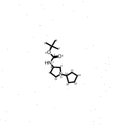 CC(C)(C)OC(=O)NC1CCN(C2CCCC2)C1